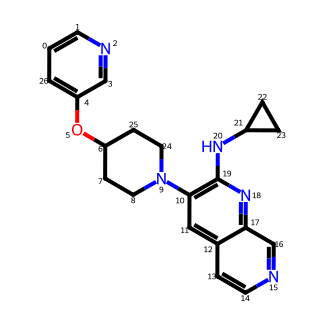 c1cncc(OC2CCN(c3cc4ccncc4nc3NC3CC3)CC2)c1